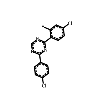 Fc1cc(Cl)ccc1-c1ncnc(-c2ccc(Cl)cc2)n1